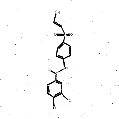 N#CC=CS(=O)(=O)c1ccc(N[S+]([O-])c2ccc(Cl)c(Cl)c2)cc1